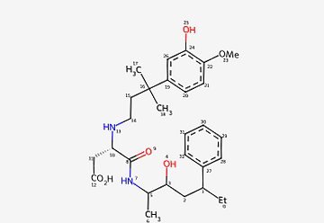 CCC(CC(O)C(C)NC(=O)[C@H](CC(=O)O)NCCC(C)(C)c1ccc(OC)c(O)c1)c1ccccc1